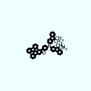 CC1(C)c2ccccc2-c2ccc(N(c3ccc4c(c3)C(C)(C)c3ccccc3-4)c3ccc4c(c3)oc3cc5c(cc34)C3(c4ccccc4-c4ccccc43)c3ccccc3-5)cc21